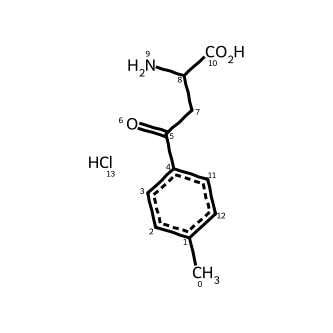 Cc1ccc(C(=O)CC(N)C(=O)O)cc1.Cl